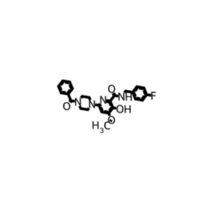 COc1cc(N2CCN(C(=O)c3ccccc3)CC2)nc(C(=O)NCc2ccc(F)cc2)c1O